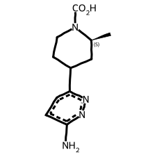 C[C@H]1CC(c2ccc(N)nn2)CCN1C(=O)O